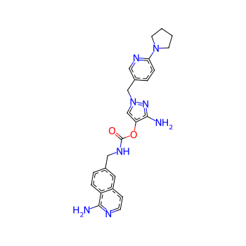 Nc1nn(Cc2ccc(N3CCCC3)nc2)cc1OC(=O)NCc1ccc2c(N)nccc2c1